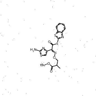 CC(CON=C(C(=O)Sc1nc2ccccc2s1)c1csc(N)n1)C(=O)OC(C)(C)C